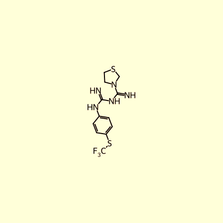 N=C(NC(=N)N1CCSC1)Nc1ccc(SC(F)(F)F)cc1